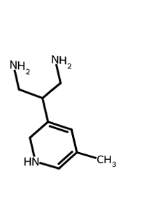 CC1=CNCC(C(CN)CN)=C1